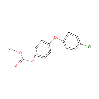 CC(C)OC(=O)Oc1ccc(Oc2ccc(Cl)cc2)cc1